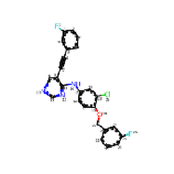 Fc1cccc(C#Cc2cncnc2Nc2ccc(OCc3cccc(F)c3)c(Cl)c2)c1